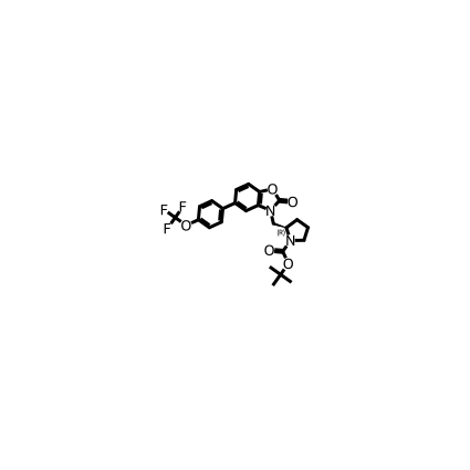 CC(C)(C)OC(=O)N1CCC[C@@H]1Cn1c(=O)oc2ccc(-c3ccc(OC(F)(F)F)cc3)cc21